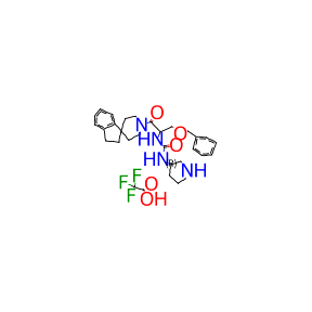 O=C(NC(COCc1ccccc1)C(=O)N1CCC2(CCc3ccccc32)CC1)N[C@@H]1CCCNC1.O=C(O)C(F)(F)F